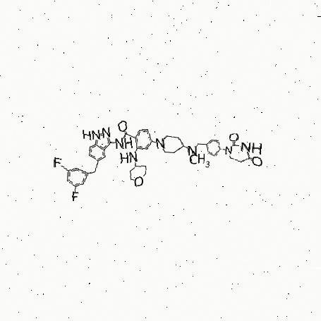 CN(Cc1ccc(N2CCC(=O)NC2=O)cc1)C1CCN(c2ccc(C(=O)Nc3n[nH]c4ccc(Cc5cc(F)cc(F)c5)cc34)c(NC3CCOCC3)c2)CC1